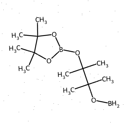 BOC(C)(C)C(C)(C)OB1OC(C)(C)C(C)(C)O1